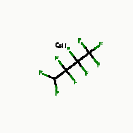 FC(F)C(F)(F)C(F)(F)C(F)(F)F.[CsH]